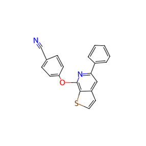 N#Cc1ccc(Oc2nc(-c3ccccc3)cc3ccsc23)cc1